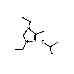 CCN1C=C(C)N(CC)C1.FC(F)F